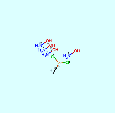 CP(Cl)Cl.NO.NO.NO.NO